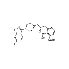 CCCOc1c(CC(=O)CN2CCC(c3noc4cc(F)ccc34)CC2)cccc1OC